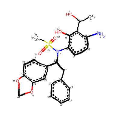 CC(O)c1c(N)ccc(N(C(Cc2ccccc2)c2ccc3c(c2)OCO3)S(C)(=O)=O)c1O